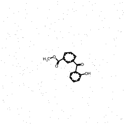 COC(=O)c1cccc(C(=O)c2ccccc2O)c1